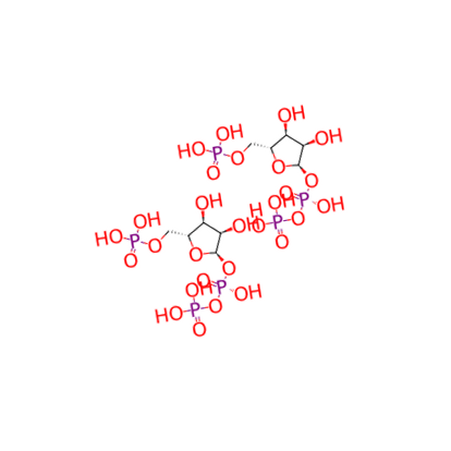 O=P(O)(O)OC[C@H]1O[C@H](O[P@@](=O)(O)OP(=O)(O)O)[C@H](O)[C@@H]1O.O=P(O)(O)OC[C@H]1O[C@H](O[P@@](=O)(O)OP(=O)(O)O)[C@H](O)[C@@H]1O